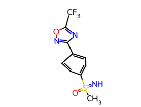 CS(=N)(=O)c1ccc(-c2noc(C(F)(F)F)n2)cc1